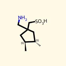 C[C@H]1CC(CN)(CS(=O)(=O)O)C[C@@H]1C